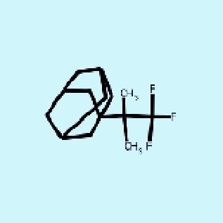 CC(C)(C(F)(F)F)C12CC3CC(CC(C3)C1)C2